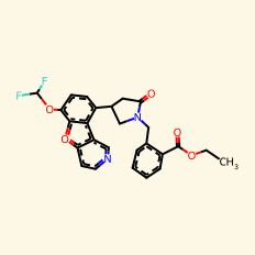 CCOC(=O)c1ccccc1CN1CC(c2ccc(OC(F)F)c3oc4ccncc4c23)CC1=O